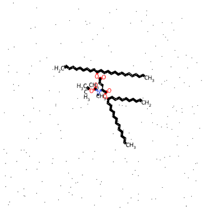 C=CCCCCCCCCC(CCCCCCCCCCCCCC)OC(=O)CC[C@@H](C(=O)OC(CCCCCCCCC=C)CCCCCCCCCCCCCC)N(C)C(=O)OC(C)(C)C